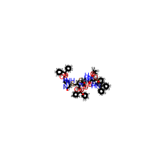 CC1=NC2=CN(C(=O)OC(c3ccccc3)c3ccccc3)NN2C(SCC2=C(C(=O)OC(c3ccccc3)c3ccccc3)N3C(=O)[C@@H](NC(=O)C(NC(=O)OC(C)(C)C)c4csc(NC(c5ccccc5)(c5ccccc5)c5ccccc5)n4)[C@H]3SC2)=C1